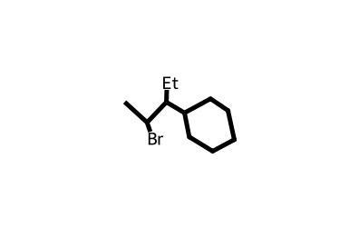 CCC(C(C)Br)C1CCCCC1